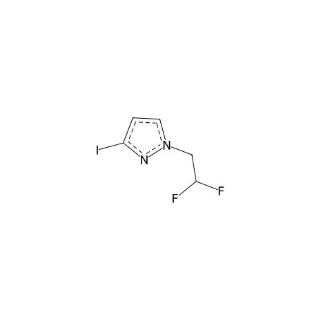 FC(F)Cn1ccc(I)n1